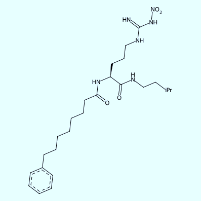 CC(C)CCNC(=O)[C@H](CCCNC(=N)N[N+](=O)[O-])NC(=O)CCCCCCCc1ccccc1